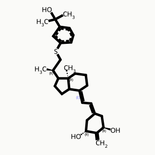 C=C1[C@H](O)CC(=C/C=C2\CCC[C@@]3(C)C2CCC3[C@@H](C)CSc2cccc(C(C)(C)O)c2)C[C@H]1O